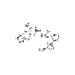 Cc1csc(-c2ccccc2NC(=O)OCC2C[C@@H](C)N(Cc3ccccc3)[C@H](C)C2)n1